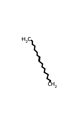 [CH2]CCCCCCC=CCCCCCCC=C